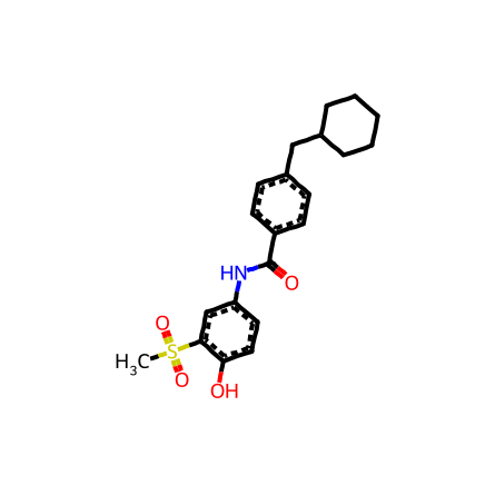 CS(=O)(=O)c1cc(NC(=O)c2ccc(CC3CCCCC3)cc2)ccc1O